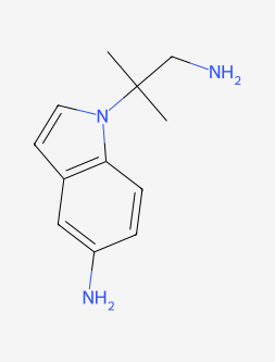 CC(C)(CN)n1ccc2cc(N)ccc21